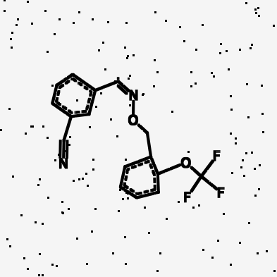 N#Cc1cccc(/[C]=N\OCc2ccccc2OC(F)(F)F)c1